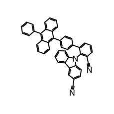 N#Cc1ccc2c(c1)c1ccccc1n2-c1c(C#N)cccc1-c1ccc(-c2c3ccccc3c(-c3ccccc3)c3ccccc23)cc1